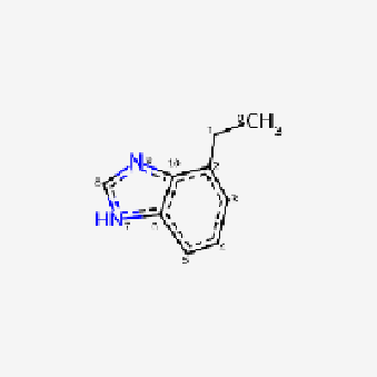 CCc1cccc2[nH]cnc12